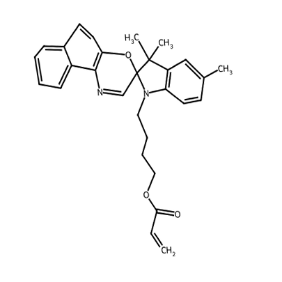 C=CC(=O)OCCCCN1c2ccc(C)cc2C(C)(C)C12C=Nc1c(ccc3ccccc13)O2